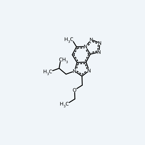 CCOCc1nc2c(cc(C)n3nnnc23)n1CC(C)C